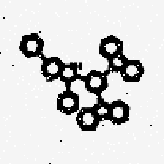 c1ccc(-c2cnc3c(c2)NC(c2cc(-n4c5ccccc5c5ccccc54)cc(-n4c5ccccc5c5ccccc54)c2)N3c2ccccc2)cc1